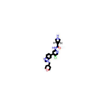 O=C(Nc1cc(-c2ccc3ncn(CC4CCOCC4)c3c2)c(Cl)cn1)C1[C@H]2CNC[C@@H]12